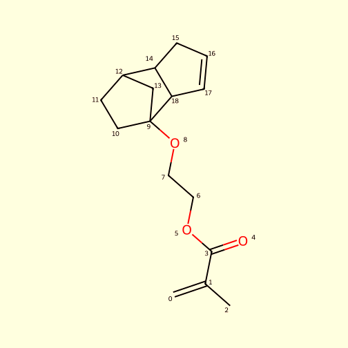 C=C(C)C(=O)OCCOC12CCC(C1)C1CC=CC12